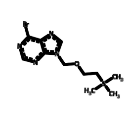 CS(C)(C)CCOCn1cnc2c(Br)ncnc21